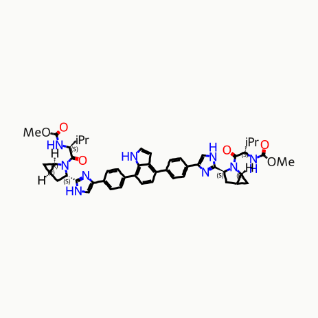 COC(=O)N[C@H](C(=O)N1[C@@H]2CC2C[C@H]1c1nc(-c2ccc(-c3ccc(-c4ccc(-c5c[nH]c([C@@H]6C[C@H]7C[C@H]7N6C(=O)[C@@H](NC(=O)OC)C(C)C)n5)cc4)c4[nH]ccc34)cc2)c[nH]1)C(C)C